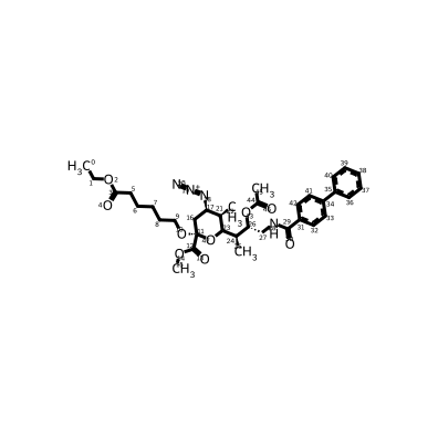 CCOC(=O)CCCCCO[C@]1(C(=O)OC)C[C@@H](N=[N+]=[N-])[C@@H](C)C([C@H](C)[C@@H](CNC(=O)c2ccc(-c3ccccc3)cc2)OC(C)=O)O1